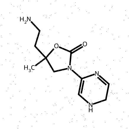 CC1(CCN)CN(C2=CNCC=N2)C(=O)O1